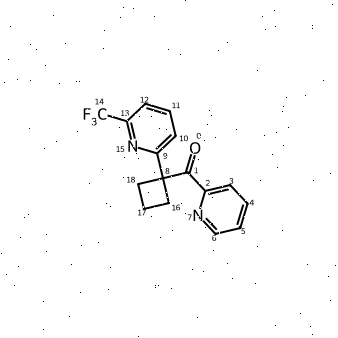 O=C(c1ccccn1)C1(c2cccc(C(F)(F)F)n2)CCC1